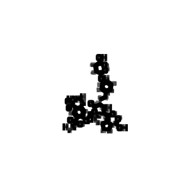 CCOC(=O)[C@H](CCc1ccccc1)N[C@@H](C)C(=O)N1CCC[C@H]1C(=O)O.NS(=O)(=O)c1cc2c(cc1Cl)NCNS2(=O)=O.O=C(O)/C=C\C(=O)O